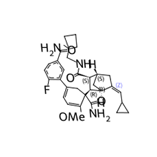 COC1=CC=C(c2cc(C(N)=O)ccc2F)CC1(C(N)=O)[C@H]1[C@@H](C(=O)NCC2(C)CCC2)[C@@H]2C/C(=C/C3CC3)[C@@H]1C2